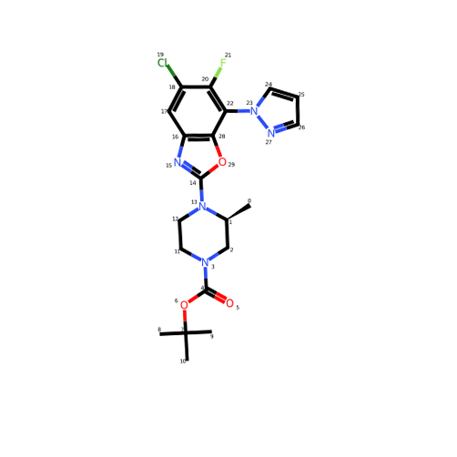 C[C@H]1CN(C(=O)OC(C)(C)C)CCN1c1nc2cc(Cl)c(F)c(-n3cccn3)c2o1